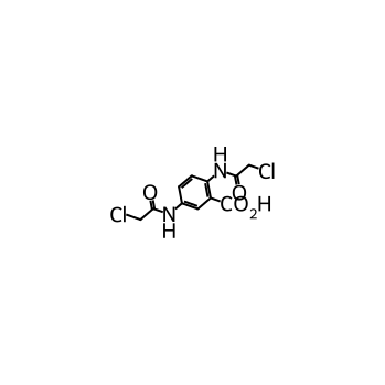 O=C(CCl)Nc1ccc(NC(=O)CCl)c(C(=O)O)c1